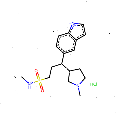 CNS(=O)(=O)CCC(c1ccc2[nH]ccc2c1)C1CCN(C)C1.Cl